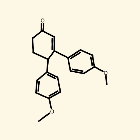 COc1ccc(C2=CC(=O)CCC2c2ccc(OC)cc2)cc1